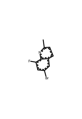 Cc1ccc2cc(Br)cc(F)c2n1